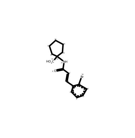 O=C(C=Cc1ccccc1Br)NC1(C(=O)O)CCCCC1